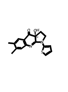 Cc1cc2c(cc1C)C(=O)[C@]1(O)CCN(c3cccs3)C1=N2